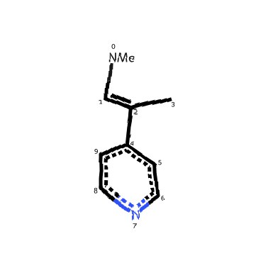 CNC=C(C)c1ccncc1